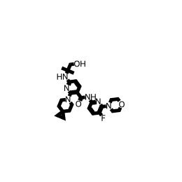 CC(C)(CO)Nc1ccc(C(=O)Nc2ccc(F)c(N3CCOCC3)n2)c(N2CCC3(CC2)CC3)n1